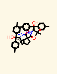 Cc1ccc(C(O)(c2ccc(C)cc2)[C@H](NC(=O)C2(C(=O)N[C@H](C(C)(C)C)C(O)(c3ccc(C)cc3)c3ccc(C)cc3)CCCC2)C(C)(C)C)cc1